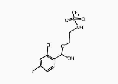 O=S(=O)(NCCOC(O)c1ccc(I)cc1Cl)C(F)(F)F